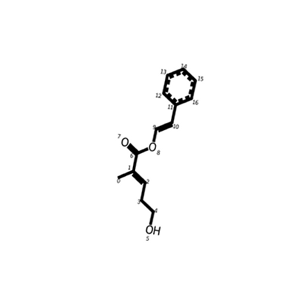 CC(=CCCO)C(=O)OC=Cc1ccccc1